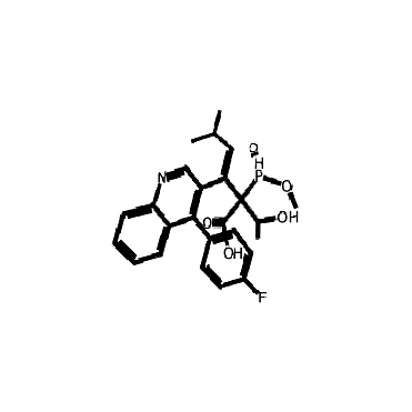 CO[PH](=O)C(C(=O)O)(C(=CC(C)C)c1cnc2ccccc2c1-c1ccc(F)cc1)C(C)O